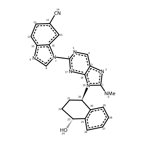 CNc1nc2cnc(-n3cnc4ccc(C#N)cc43)nc2n1[C@@H]1CC[C@@H](O)c2ccccc21